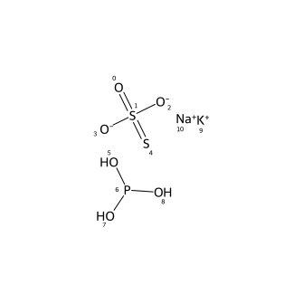 O=S([O-])([O-])=S.OP(O)O.[K+].[Na+]